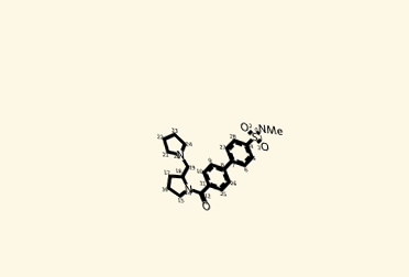 CNS(=O)(=O)c1ccc(-c2ccc(C(=O)N3CCCC3CN3CCCC3)cc2)cc1